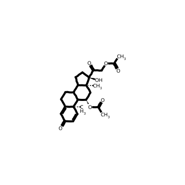 CC(=O)OCC(=O)[C@@]1(O)CCC2C3CCC4=CC(=O)C=C[C@]4(C)C3[C@@H](OC(C)=O)C[C@@]21C